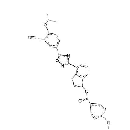 COc1ccc(C(=O)OC2=CCc3c2cccc3-c2noc(-c3ccc(OC(C)C)c(C#N)c3)n2)cc1